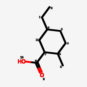 CCC1CCC(C)C(C(=O)O)C1